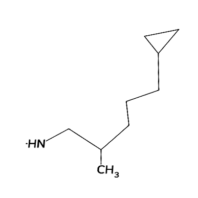 CC(C[NH])CCCC1CC1